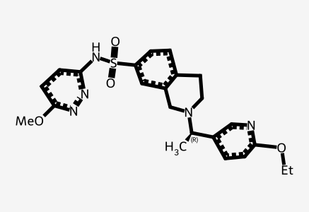 CCOc1ccc([C@@H](C)N2CCc3ccc(S(=O)(=O)Nc4ccc(OC)nn4)cc3C2)cn1